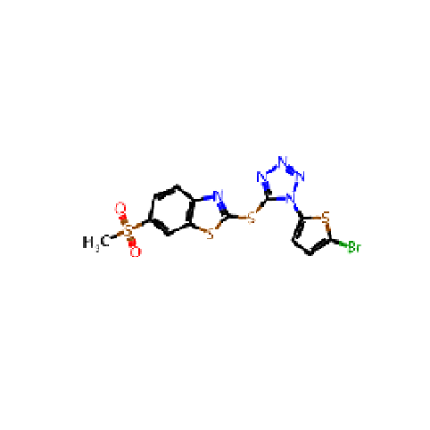 CS(=O)(=O)c1ccc2nc(Sc3nnnn3-c3ccc(Br)s3)sc2c1